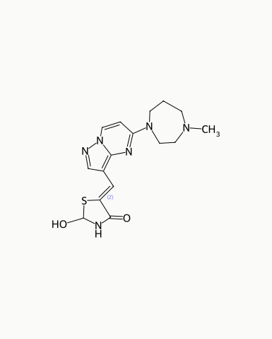 CN1CCCN(c2ccn3ncc(/C=C4\SC(O)NC4=O)c3n2)CC1